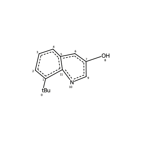 CC(C)(C)c1cccc2cc(O)cnc12